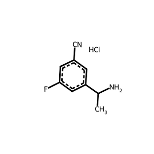 CC(N)c1cc(F)cc(C#N)c1.Cl